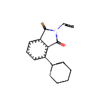 C=CN1C(=O)c2c(cccc2C2CCCCC2)C1=S